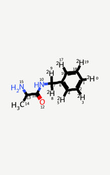 [2H]c1c([2H])c([2H])c(C([2H])([2H])NC(=O)C(C)N)c([2H])c1[2H]